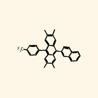 Cc1cc2c(-c3ccc(C(F)(F)F)cc3)c3cc(C)c(C)cc3c(-c3ccc4ccccc4c3)c2cc1C